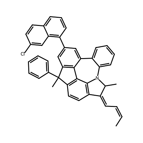 C/C=C\C=C1\c2ccc3c4c2N(c2ccccc2-c2cc(-c5cccc6ccc(Cl)cc56)cc(c2-4)C3(C)c2ccccc2)C1C